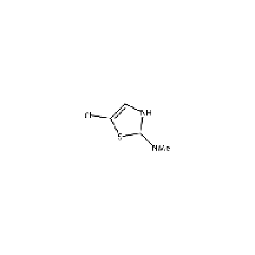 CNC1NC=C(Cl)S1